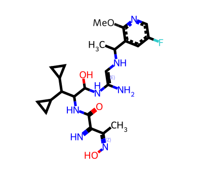 COc1ncc(F)cc1C(C)N/C=C(\N)NC(O)C(NC(=O)C(=N)/C(C)=N\O)C(C1CC1)C1CC1